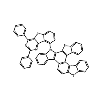 c1ccc(-c2nc(-c3ccccc3)c3sc4cccc(-n5c6ccccc6c6c7ccc8sc9ccccc9c8c7c7c8ccccc8sc7c65)c4c3n2)cc1